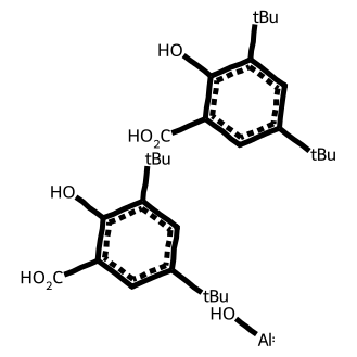 CC(C)(C)c1cc(C(=O)O)c(O)c(C(C)(C)C)c1.CC(C)(C)c1cc(C(=O)O)c(O)c(C(C)(C)C)c1.[OH][Al]